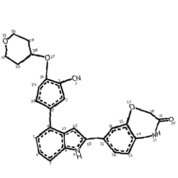 N#Cc1cc(-c2cccc3[nH]c(-c4ccc5c(c4)OCC(=O)N5)cc23)ccc1OC1CCOCC1